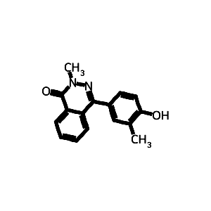 Cc1cc(-c2nn(C)c(=O)c3ccccc23)ccc1O